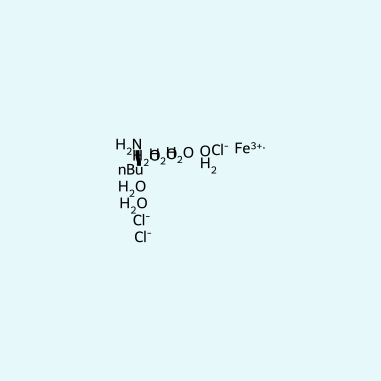 CCCCN.O.O.O.O.O.O.[Cl-].[Cl-].[Cl-].[Fe+3]